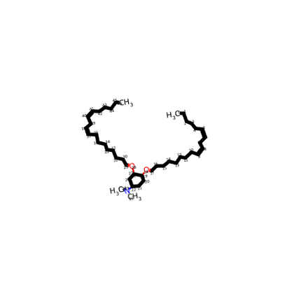 CCCCC/C=C\C/C=C\CCCCCCCCO[C@H]1CC[C@@H](N(C)C)C[C@H]1OCCCCCCCC/C=C\C/C=C\CCCCC